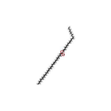 CCCCCCCC/C=C\CCCCCCCCCCCCOC(=O)CCCCCCCCCCCCCCCCCCCCCCCCCCCCC